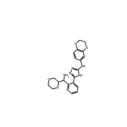 NC(c1ncccc1-c1nnc(Nc2ccc3c(c2)OCCO3)[nH]1)C1COCCO1